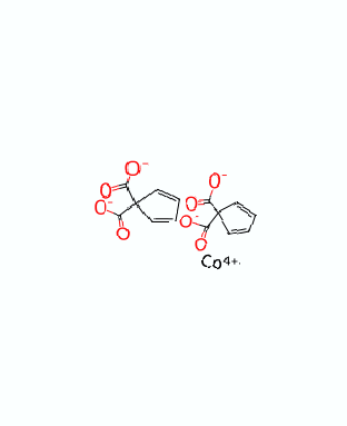 O=C([O-])C1(C(=O)[O-])C=CC=C1.O=C([O-])C1(C(=O)[O-])C=CC=C1.[Co+4]